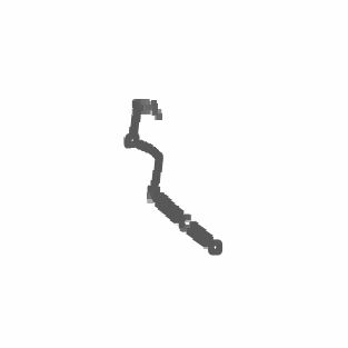 O=C=NCO[SiH3]